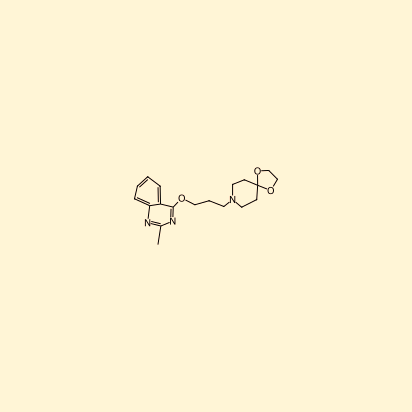 Cc1nc(OCCCN2CCC3(CC2)OCCO3)c2ccccc2n1